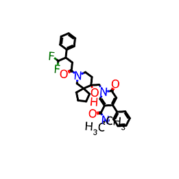 CN(C)C(=O)c1cn(CC2(O)CCN(C(=O)CC(c3ccccc3)C(F)F)CC23CCCC3)c(=O)cc1-c1ccccc1